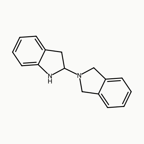 c1ccc2c(c1)CN(C1Cc3ccccc3N1)C2